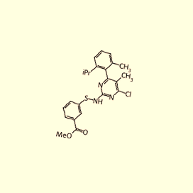 COC(=O)c1cccc(SNc2nc(Cl)c(C)c(-c3c(C)cccc3C(C)C)n2)c1